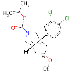 C=C(C)OC(=O)N1C[C@H]2C[C@@H](OCC)C[C@@]2(c2ccc(Cl)c(Cl)c2)C1